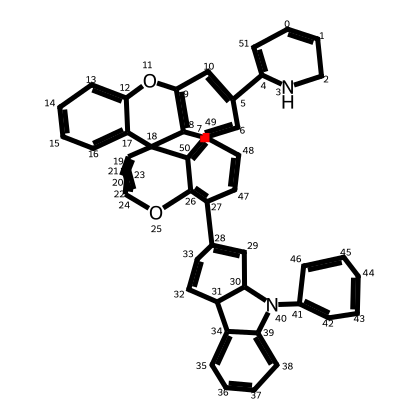 C1=CCNC(c2ccc3c(c2)Oc2ccccc2C32c3ccccc3Oc3c(C4=CC5C(C=C4)c4ccccc4N5c4ccccc4)cccc32)=C1